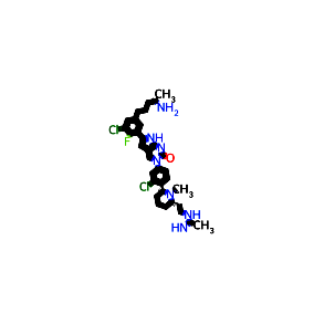 CC(=N)NCC[C@@H]1CCC[C@@H](c2ccc(-n3cc4cc(-c5cc(CCC[C@H](C)N)cc(Cl)c5F)[nH]c4nc3=O)cc2Cl)N1C